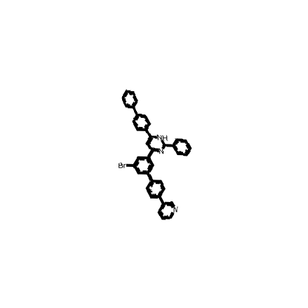 Brc1cc(C2=NC(c3ccccc3)NC(c3ccc(-c4ccccc4)cc3)=C2)cc(-c2ccc(-c3cccnc3)cc2)c1